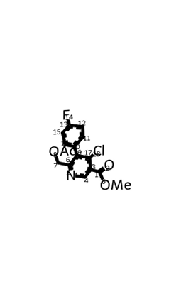 COC(=O)c1cnc(COC(C)=O)c(-c2ccc(F)cc2)c1Cl